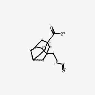 O=COCC12CC3CC(C1)CC(C(=O)O)(C3)C2